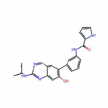 CC(C)Nc1ncc2cc(-c3cccc(NC(=O)c4ccc[nH]4)c3)c(O)cc2n1